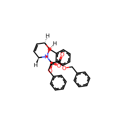 O=C(OCc1ccccc1)C(=O)N1[C@H](c2ccccc2)[C@@H]2C=C[C@H]1N(C(=O)Cc1ccccc1)O2